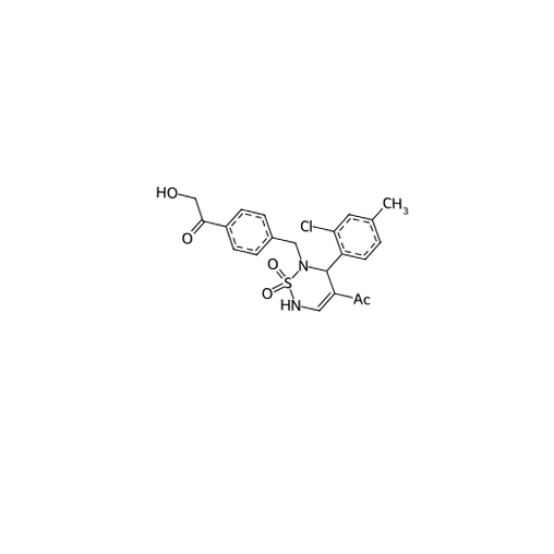 CC(=O)C1=CNS(=O)(=O)N(Cc2ccc(C(=O)CO)cc2)C1c1ccc(C)cc1Cl